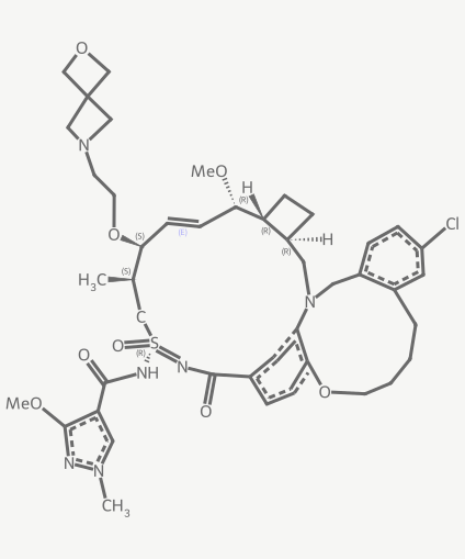 COc1nn(C)cc1C(=O)N[S@@]1(=O)=NC(=O)c2ccc3c(c2)N(Cc2ccc(Cl)cc2CCCCO3)C[C@@H]2CC[C@H]2[C@@H](OC)/C=C/[C@H](OCCN2CC3(COC3)C2)[C@H](C)C1